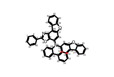 c1ccc(-c2nc3c(o2)c(N(c2ccc4c(c2)oc2ccccc24)c2ccccc2-c2ccccc2)cc2oc4ccccc4c23)cc1